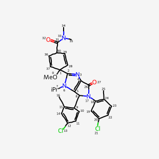 COC1(c2nc3c(n2C(C)C)C(c2ccc(Cl)cc2C)N(c2cc(Cl)ccc2C)C3=O)C=CC(C(=O)N(C)C)C=C1